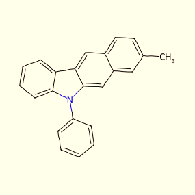 Cc1ccc2cc3c4ccccc4n(-c4ccccc4)c3cc2c1